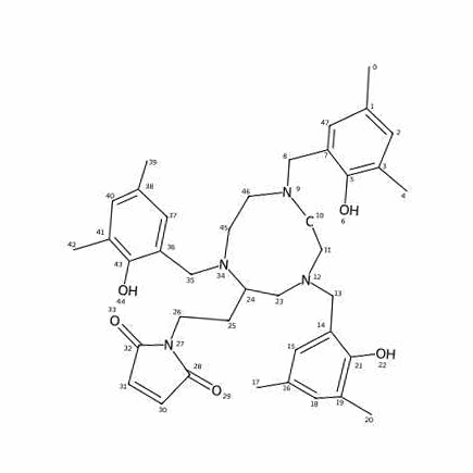 Cc1cc(C)c(O)c(CN2CCN(Cc3cc(C)cc(C)c3O)CC(CCN3C(=O)C=CC3=O)N(Cc3cc(C)cc(C)c3O)CC2)c1